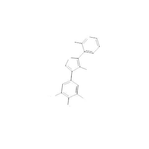 COc1cc(-c2coc(-c3cccnc3C(F)(F)F)c2C(=O)O)cc([N+](=O)[O-])c1OC